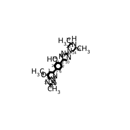 COc1cc(-c2ccc(-c3cnc(N4C[C@@H](C)N[C@@H](C)C4)nn3)c(O)c2)nn2nc(C)nc12